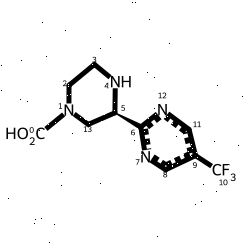 O=C(O)N1CCN[C@@H](c2ncc(C(F)(F)F)cn2)C1